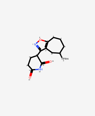 CCCCCCC1CCCc2onc(C3CCC(=O)NC3=O)c2C1